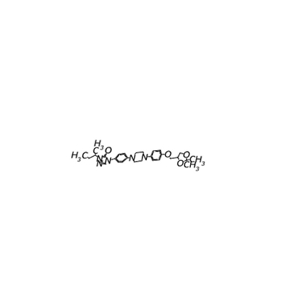 CCC(C)n1ncn(-c2ccc(N3CCN(c4ccc(OCC5COC(C)(C)O5)cc4)CC3)cc2)c1=O